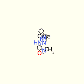 COc1ccccc1-c1ccc2cnc(Nc3ccc4c(c3)N(C)CCO4)nn12